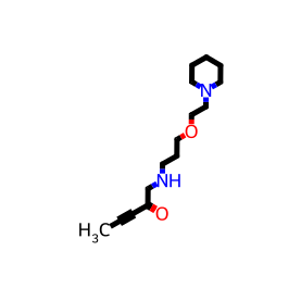 CC#CC(=O)CNCCCOCCN1CCCCC1